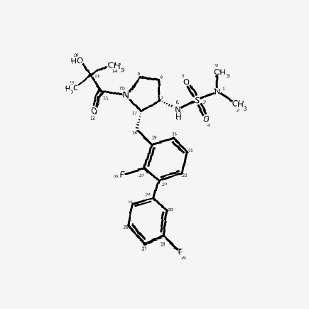 CN(C)S(=O)(=O)N[C@H]1CCN(C(=O)C(C)(C)O)[C@H]1Cc1cccc(-c2cccc(F)c2)c1F